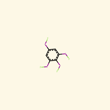 F[I]c1cc([I]F)c([I]F)c([I]F)c1